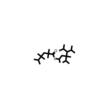 CC(CC(C)(C(C)C)C(C(C)C)C(C)I)SC(=O)C(C)(C)CC(C)(C)C(C)C